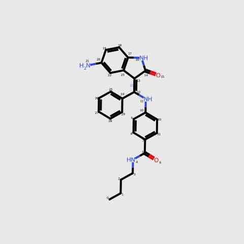 CCCCNC(=O)c1ccc(N/C(=C2\C(=O)Nc3ccc(N)cc32)c2ccccc2)cc1